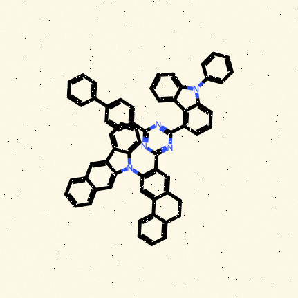 c1ccc(-c2ccc(-c3nc(-c4cc5c(cc4-n4c6ccccc6c6cc7ccccc7cc64)-c4ccccc4CC5)nc(-c4cccc5c4c4ccccc4n5-c4ccccc4)n3)cc2)cc1